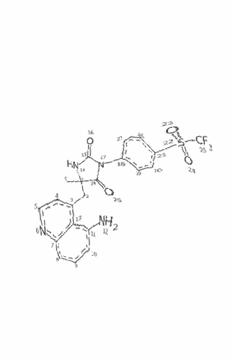 CC1(Cc2ccnc3cccc(N)c23)NC(=O)N(c2ccc(S(=O)(=O)C(F)(F)F)cc2)C1=O